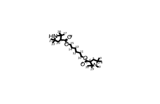 CN1C(C)(C)CC(C(=O)OCCCCCCOC(=O)C2CC(C)(C)NC2(C)C)C1(C)C